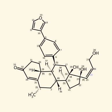 C[C@H]1C[C@@H]2[C@H]([C@@H](c3ccc(-c4ccoc4)cc3)C[C@@]3(C)[C@H]2CC[C@@]3(O)/C=C\CO)[C@H]2CCC(=O)C=C12